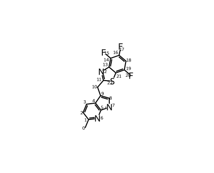 Cc1ccc2c(n1)[N]C=C2Cc1nc2c(F)c(F)cc(F)c2s1